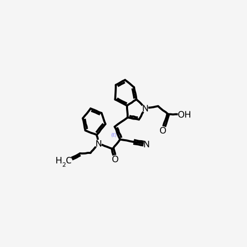 C=CCN(C(=O)/C(C#N)=C/c1cn(CC(=O)O)c2ccccc12)c1ccccc1